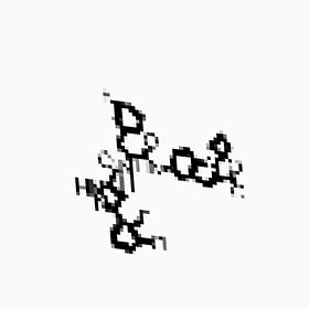 O=C(NC(Cc1cccc(F)c1)C(=O)Nc1ccc2c(c1)cc1n2C2(CCC2)OC1=O)c1cc(-c2cccc(Cl)c2F)n[nH]1